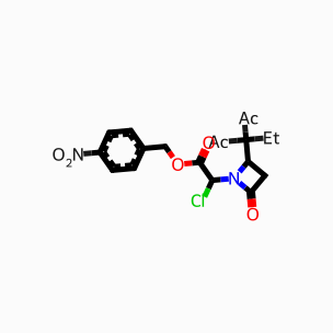 CCC(C(C)=O)(C(C)=O)C1CC(=O)N1C(Cl)C(=O)OCc1ccc([N+](=O)[O-])cc1